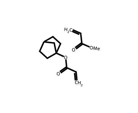 C=CC(=O)OC.C=CC(=O)OC12CCC(CC1)C2